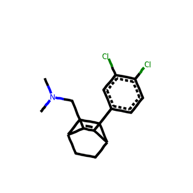 CN(C)CC1=C(c2ccc(Cl)c(Cl)c2)C2CCC1CC2